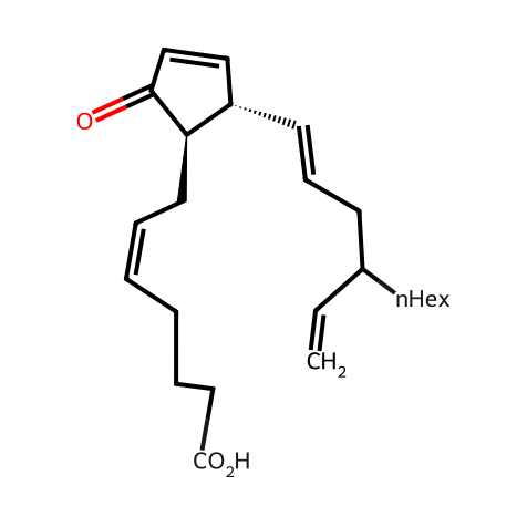 C=CC(CC=C[C@H]1C=CC(=O)[C@@H]1C/C=C\CCCC(=O)O)CCCCCC